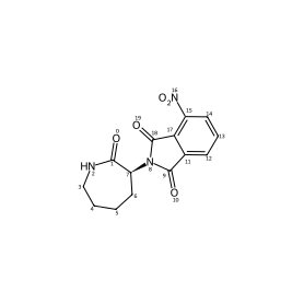 O=C1NCCCC[C@@H]1N1C(=O)c2cccc([N+](=O)[O-])c2C1=O